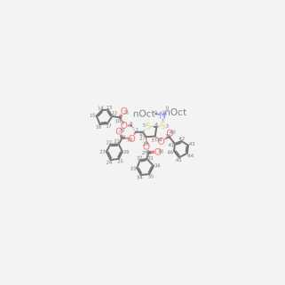 CCCCCCCCN(CCCCCCCC)S[C@@H]1S[C@@H]([C@@H](COC(=O)c2ccccc2)OC(=O)c2ccccc2)[C@H](OC(=O)c2ccccc2)[C@H]1OC(=O)c1ccccc1